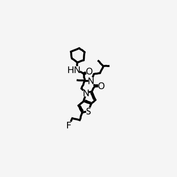 CC(C)CCN1C(=O)c2cc3sc(CCF)cc3n2CC1(C)C(=O)NC1CCCCC1